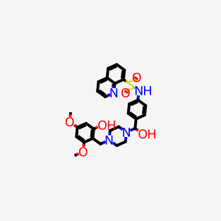 COc1cc(O)c(CN2CCN(C(O)c3ccc(NS(=O)(=O)c4cccc5cccnc45)cc3)CC2)c(OC)c1